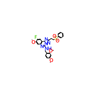 COc1ccc(CNc2nc3cc(OC)c(F)cc3c3nc(CCS(=O)(=O)c4ccccc4)nn23)c(OC)c1